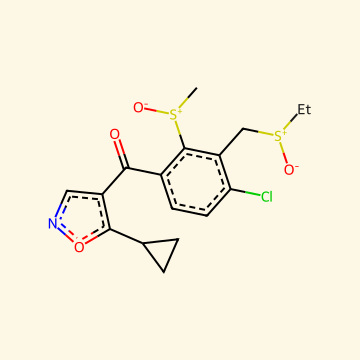 CC[S+]([O-])Cc1c(Cl)ccc(C(=O)c2cnoc2C2CC2)c1[S+](C)[O-]